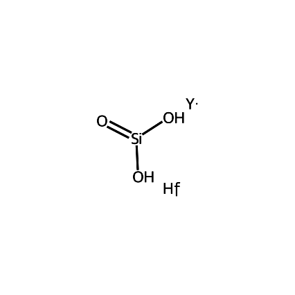 O=[Si](O)O.[Hf].[Y]